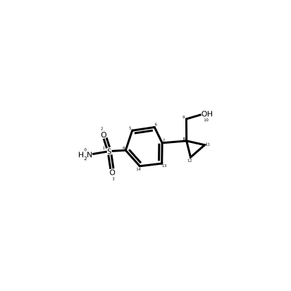 NS(=O)(=O)c1ccc(C2(CO)CC2)cc1